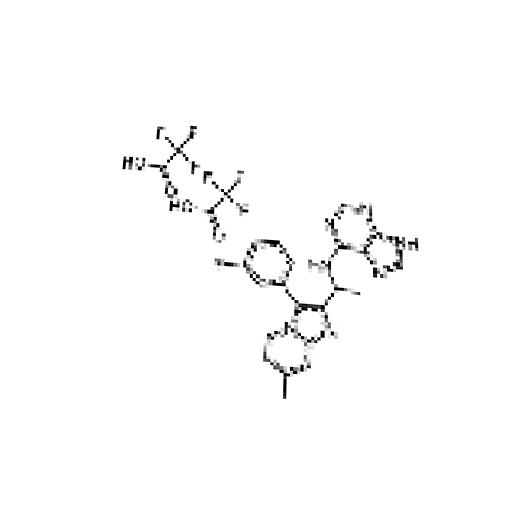 Cc1ccn2c(-c3cccc(F)c3)c(C(C)Nc3ncnc4[nH]cnc34)nc2c1.O=C(O)C(F)(F)F.O=C(O)C(F)(F)F